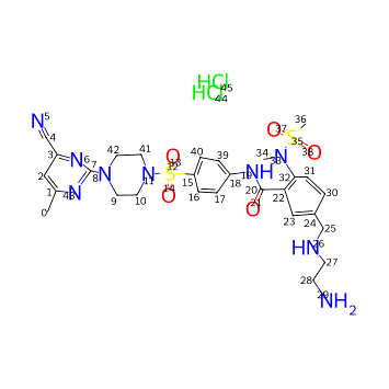 Cc1cc(C#N)nc(N2CCN(S(=O)(=O)c3ccc(NC(=O)c4cc(CNCCN)ccc4N(C)S(C)(=O)=O)cc3)CC2)n1.Cl.Cl